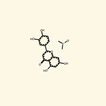 C[S+](C)[O-].O=c1cc(-c2ccc(O)c(O)c2)oc2cc(O)cc(O)c12